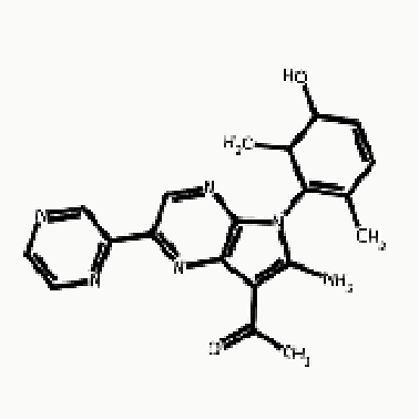 CC(=O)c1c(N)n(C2=C(C)C=CC(O)C2C)c2ncc(-c3cnccn3)nc12